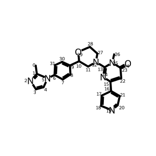 Cc1nccn1-c1ccc(C2CN(c3nc(-c4ccncc4)cc(=O)n3C)CCO2)cc1